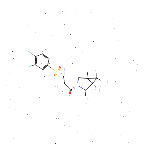 C[C@@H]1[C@@H]2[C@H](CN1C(=O)[C@@H](NS(=O)(=O)c1ccc(F)c(F)c1)C(C)(C)C)C2(C)C